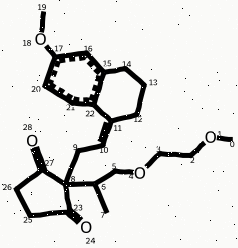 COCCOCC(C)C1(C/C=C2/CCCc3cc(OC)ccc32)C(=O)CCC1=O